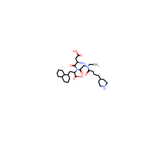 CCN(CC(=O)N(C(=O)C(N)CC(=O)O)C(CC1CCCC2CCCCC21)C(=O)O)C(=O)CCCC1CCNCC1